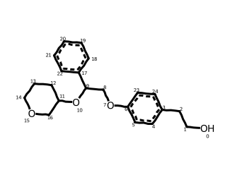 OCCc1ccc(OCC(OC2CCCOC2)c2ccccc2)cc1